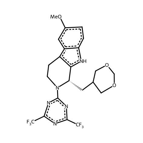 COc1ccc2[nH]c3c(c2c1)CCN(c1nc(C(F)(F)F)nc(C(F)(F)F)n1)[C@H]3CC1COCOC1